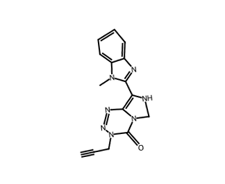 C#CCN1N=NC2=C(c3nc4ccccc4n3C)NCN2C1=O